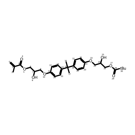 C=C(C)C(=O)OCC(O)COc1ccc(C(C)(C)c2ccc(OCC(O)COC(=O)C(C)(C)C)cc2)cc1